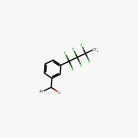 CC(C)C([O])c1cccc(C(F)(F)C(F)(F)C(F)(F)C(F)(F)F)c1